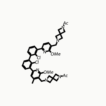 COc1nc(-c2cccc(-c3cccc(-c4cc(C)c(CN5CC6(C5)CN(C(C)=O)C6)c(OC)n4)c3Cl)c2Cl)ccc1CN1CC2(C1)CN(C(C)=O)C2